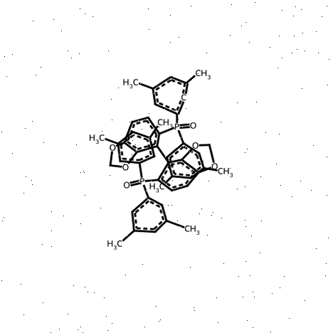 Cc1cc(C)cc(P(=O)(c2cc(C)cc(C)c2)c2ccc3c(c2-c2c(P(=O)(c4cc(C)cc(C)c4)c4cc(C)cc(C)c4)ccc4c2OCO4)OCO3)c1